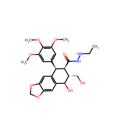 CCNNC(=O)[C@@H]1[C@H](c2cc(OC)c(OC)c(OC)c2)c2cc3c(cc2[C@H](O)[C@H]1CO)OCO3